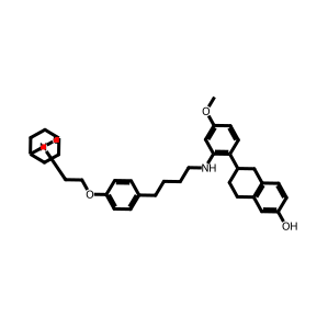 COc1ccc(C2CCc3cc(O)ccc3C2)c(NCCCCc2ccc(OCCN3CC4CCC(CC4)C3)cc2)c1